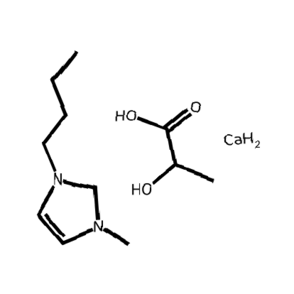 CC(O)C(=O)O.CCCCN1C=CN(C)C1.[CaH2]